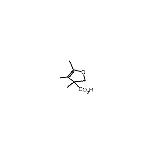 CC1=C(C)C(C)(C(=O)O)CO1